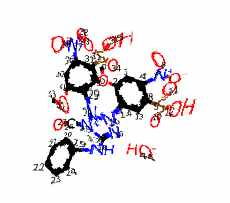 COc1cc([N+](=O)[O-])c(S(=O)(=O)O)cc1N1N=C(Nc2ccccc2)[N+](=C=O)N1c1cc(S(=O)(=O)O)c([N+](=O)[O-])cc1OC.[OH-]